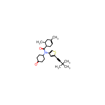 CC1=CCC(C(=O)N(c2csc(C#CC(C)(C)C)c2)C2CCC(=O)CC2)[C@@H](C)C1